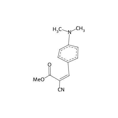 COC(=O)C(C#N)=Cc1ccc(N(C)C)cc1